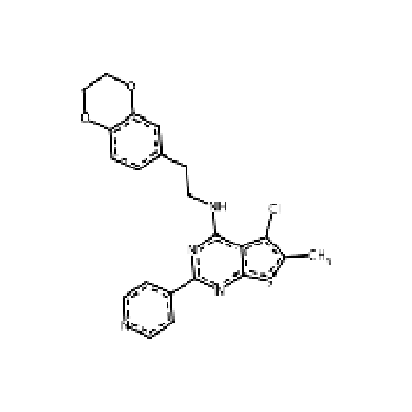 Cc1sc2nc(-c3ccncc3)nc(NCCc3ccc4c(c3)OCCO4)c2c1Cl